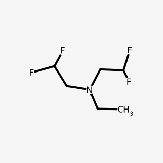 CCN(CC(F)F)CC(F)F